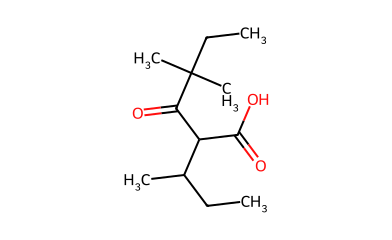 CCC(C)C(C(=O)O)C(=O)C(C)(C)CC